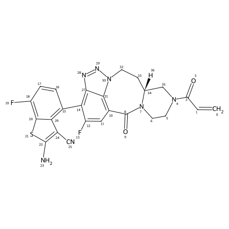 C=CC(=O)N1CCN2C(=O)c3cc(F)c(-c4ccc(F)c5sc(N)c(C#N)c45)c4nnn(c34)CC[C@@H]2C1